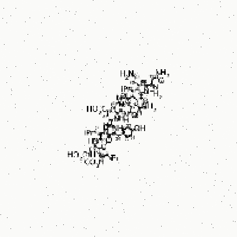 CC(C)C[C@H](NC(=O)[C@H](CCC(=O)O)NC(=O)[C@H](CC(C)C)NC(=O)[C@H](Cc1ccc(O)cc1)NC(=O)[C@H](CCC(=O)O)NC(=O)[C@H](CC(N)=O)NC(=O)[C@H](CC(N)=O)NC(=O)[C@H](CC(C)C)NC(=O)[C@H](CCCCN)NC(=O)[C@@H](N)CC(N)=O)C(=O)O